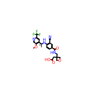 COc1cnc(C(F)(F)F)cc1[C@H](C)Nc1ccc(C(=O)NCC2(CC(=O)O)COC2)cc1C#N